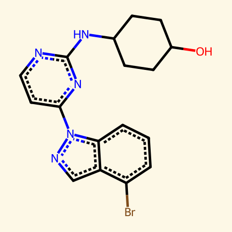 OC1CCC(Nc2nccc(-n3ncc4c(Br)cccc43)n2)CC1